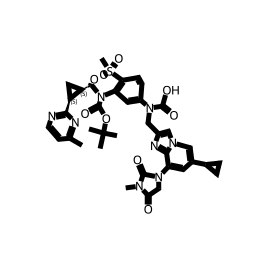 Cc1ccnc([C@H]2C[C@@H]2C(=O)N(C(=O)OC(C)(C)C)c2cc(N(Cc3cn4cc(C5CC5)cc(N5CC(=O)N(C)C5=O)c4n3)C(=O)O)ccc2S(C)(=O)=O)n1